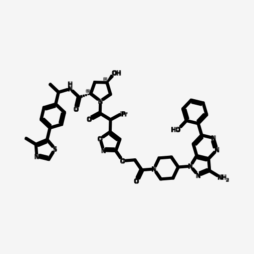 Cc1ncsc1-c1ccc(C(C)NC(=O)[C@@H]2C[C@@H](O)CN2C(=O)C(c2cc(OCC(=O)N3CCC(n4nc(N)c5nnc(-c6ccccc6O)cc54)CC3)no2)C(C)C)cc1